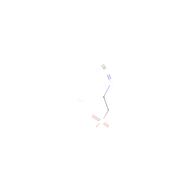 O=S(=O)([O-])CCN=C=S.[Na+]